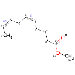 C/C=C\C/C=C\CCCC(=O)OC